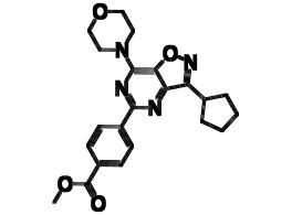 COC(=O)c1ccc(-c2nc(N3CCOCC3)c3onc(C4CCCC4)c3n2)cc1